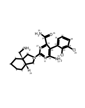 NC[C@]12CCCC[C@H]1CN(c1nc(N)c(-c3cccc(Cl)c3Cl)c(C(N)=O)n1)C2